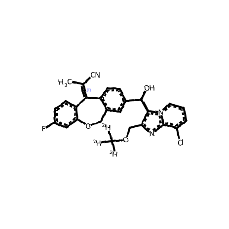 [2H]C([2H])([2H])OCc1nc2c(Cl)cccn2c1C(O)c1ccc2c(c1)COc1cc(F)ccc1/C2=C(\C)C#N